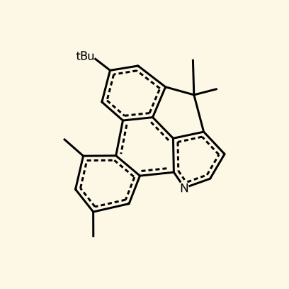 Cc1cc(C)c2c(c1)c1nccc3c1c1c(cc(C(C)(C)C)cc21)C3(C)C